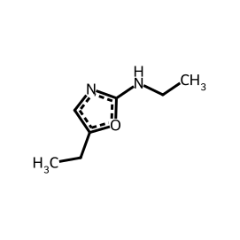 CCNc1ncc(CC)o1